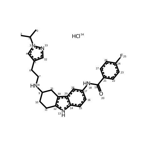 CC(C)n1cc(CCNC2CCc3[nH]c4ccc(NC(=O)c5ccc(F)cc5)cc4c3C2)cn1.Cl